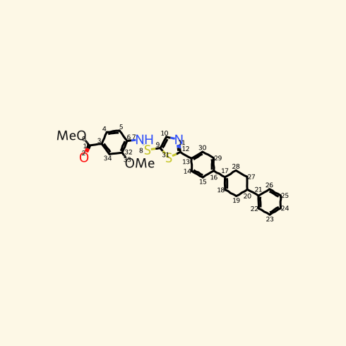 COC(=O)c1ccc(NSc2cnc(-c3ccc(C4=CCC(c5ccccc5)CC4)cc3)s2)c(OC)c1